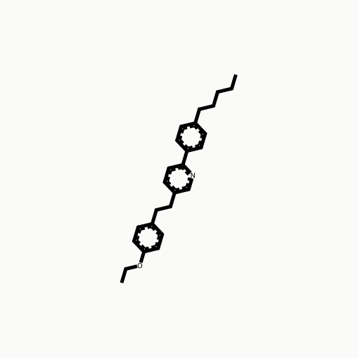 CCCCCc1ccc(-c2ccc(CCc3ccc(OCC)cc3)cn2)cc1